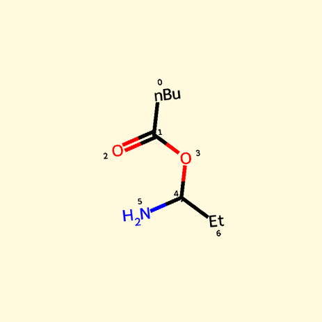 CCCCC(=O)O[C](N)CC